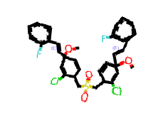 COC1(/C=C/c2ccccc2F)C=CC(CS(=O)(=O)CC2C=CC(/C=C/c3ccccc3F)(OC)C=C2Cl)C(Cl)=C1